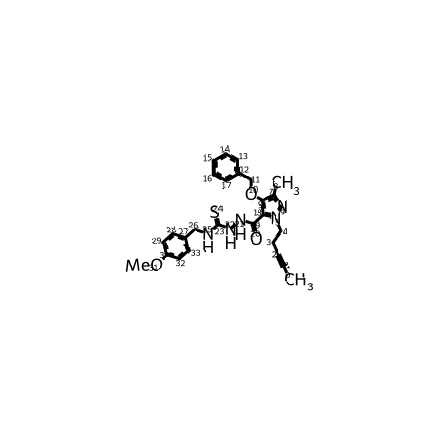 CC#CCCn1nc(C)c(OCc2ccccc2)c1C(=O)NNC(=S)NCc1ccc(OC)cc1